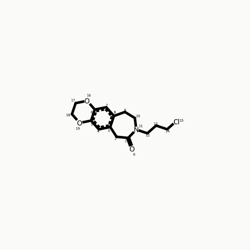 O=C1Cc2cc3c(cc2CCN1CCCCl)OCCO3